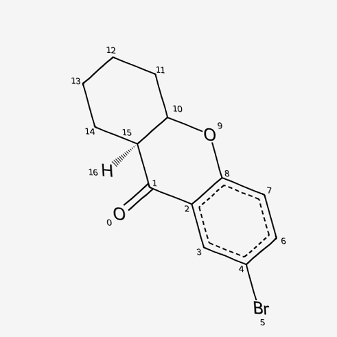 O=C1c2cc(Br)ccc2OC2CCCC[C@H]12